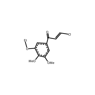 CCOc1cc(C(=O)/C=C/Cl)cc(OC)c1OC